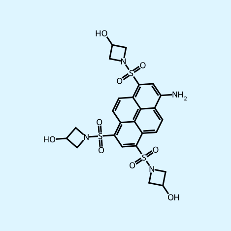 Nc1cc(S(=O)(=O)N2CC(O)C2)c2ccc3c(S(=O)(=O)N4CC(O)C4)cc(S(=O)(=O)N4CC(O)C4)c4ccc1c2c43